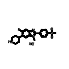 Cl.Cn1c(-c2ccc(S(C)(=O)=O)cc2)nc2cc(F)c(C3CCNCC3)cc21